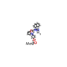 COC(=O)COc1ccc(N2CC(CN[C@H](C)c3cccc4ccccc34)Oc3ccccc32)cc1